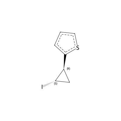 I[C@H]1C[C@@H]1c1cccs1